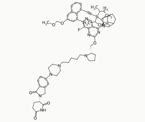 COCOc1cc(-c2ncc3c(N4CC5CCC(C5)C4)nc(OC[C@@H]4CCCN4CCCCCN4CCN(c5ccc6c(c5)CN([C@H]5CCC(=O)NC5=O)C6=O)CC4)nc3c2F)c2c(C#C[Si](C(C)C)(C(C)C)C(C)C)cccc2c1